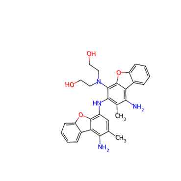 Cc1cc(Nc2c(C)c(N)c3c(oc4ccccc43)c2N(CCO)CCO)c2oc3ccccc3c2c1N